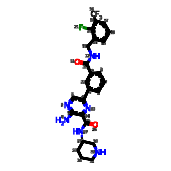 Nc1ncc(-c2cccc(C(=O)NCc3cccc(C(F)(F)F)c3F)c2)nc1C(=O)N[C@H]1CCCNC1